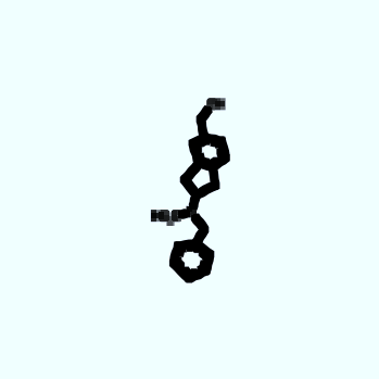 O=C(O)N(Cc1ccccc1)C1Cc2ccc(CO)cc2C1